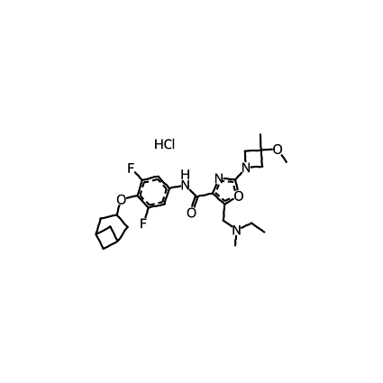 CCN(C)Cc1oc(N2CC(C)(OC)C2)nc1C(=O)Nc1cc(F)c(OC2CC3CC(C3)C2)c(F)c1.Cl